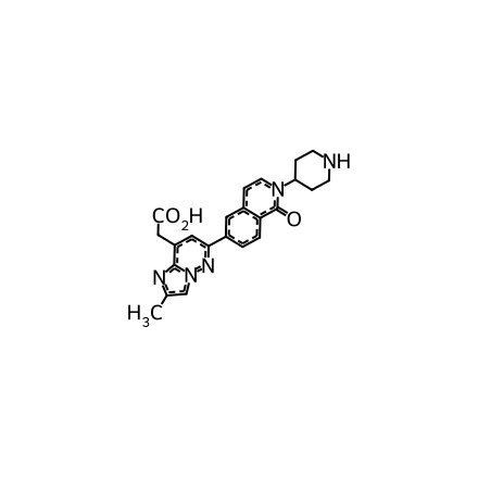 Cc1cn2nc(-c3ccc4c(=O)n(C5CCNCC5)ccc4c3)cc(CC(=O)O)c2n1